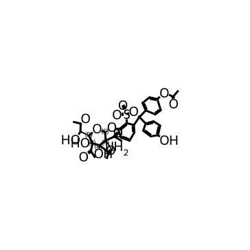 CC(=O)Oc1ccc(C2(c3ccc(O)cc3)OS(=O)(=O)c3c(O[C@@H]4O[C@H](C(O)C(C)=O)[C@](O)(C(C)=O)[C@@](O)(C(C)=O)[C@]4(N)C(C)=O)cccc32)cc1